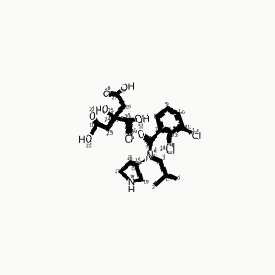 CC(C)CN(C(=O)c1cccc(Cl)c1Cl)[C@H]1CCNC1.O=C(O)CC(O)(CC(=O)O)C(=O)O